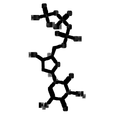 Cc1cn([C@H]2CC(O)[C@@H](COP(=O)(O)OP(=O)(O)OP(=O)(O)O)O2)c(=O)n(N)c1=O